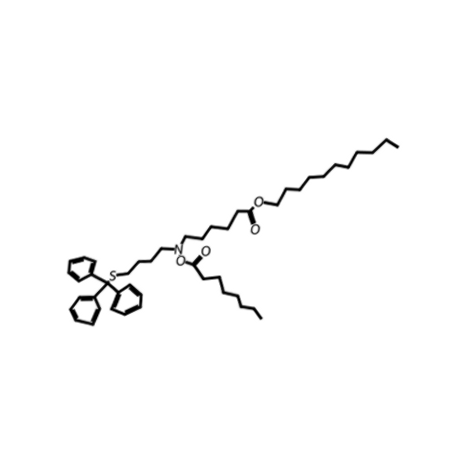 CCCCCCCCCCCOC(=O)CCCCCN(CCCCSC(c1ccccc1)(c1ccccc1)c1ccccc1)OC(=O)CCCCCCC